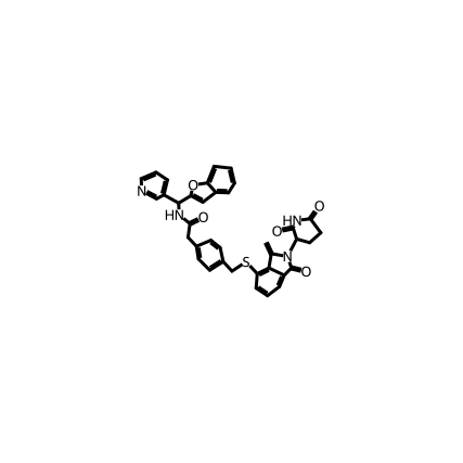 C=C1c2c(SCc3ccc(CC(=O)NC(c4cccnc4)c4cc5ccccc5o4)cc3)cccc2C(=O)N1C1CCC(=O)NC1=O